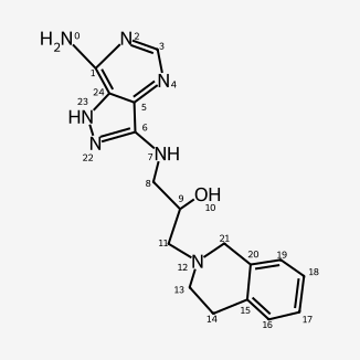 Nc1ncnc2c(NCC(O)CN3CCc4ccccc4C3)n[nH]c12